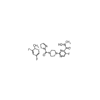 CC1C(F)=CC(F)=CC1[C@@H]1CC=NN1C(=O)N1CCN(c2ncc(F)c(C(=O)N(C)O)n2)CC1